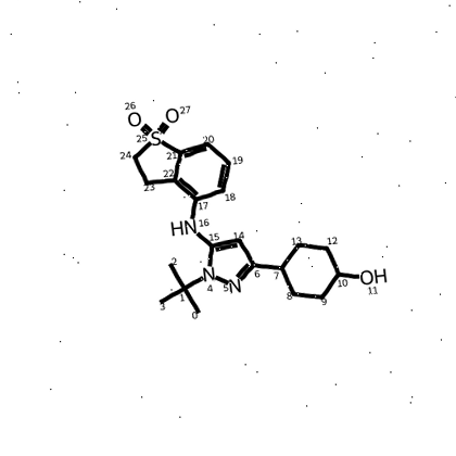 CC(C)(C)n1nc(C2CCC(O)CC2)cc1Nc1cccc2c1CCS2(=O)=O